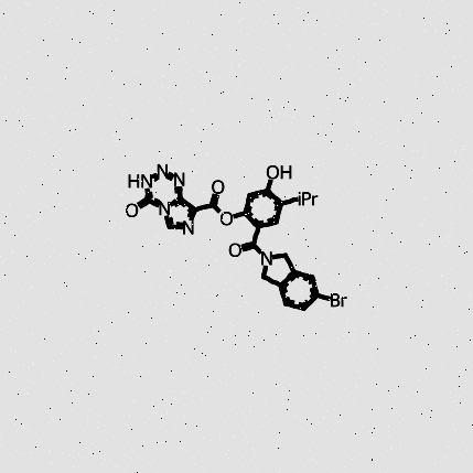 CC(C)c1cc(C(=O)N2Cc3ccc(Br)cc3C2)c(OC(=O)c2ncn3c(=O)[nH]nnc23)cc1O